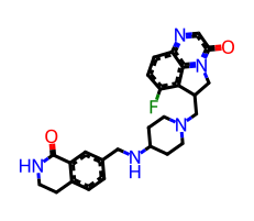 O=C1NCCc2ccc(CNC3CCN(CC4Cn5c(=O)cnc6ccc(F)c4c65)CC3)cc21